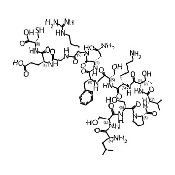 CC(C)C[C@H](N)C(=O)N[C@@H](CO)C(=O)N[C@@H](CO)C(=O)N1CCC[C@H]1C(=O)N[C@H](C(=O)N[C@H](C(=O)N[C@@H](CCCCN)C(=O)N[C@@H](CO)C(=O)N[C@@H](Cc1ccccc1)C(=O)N[C@@H](CC(N)=O)C(=O)N[C@@H](CCCNC(=N)N)C(=O)NCC(=O)N[C@@H](CCC(=O)O)C(=O)N[C@@H](CS)C(=O)O)[C@@H](C)O)C(C)C